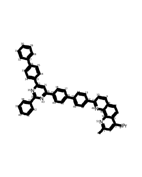 Cc1cc(C(C)C)c2ccc3ccc(-c4ccc(-c5ccc(-c6cc(-c7ccc(-c8ccccc8)cc7)nc(-c7ccccc7)n6)cc5)cc4)nc3c2n1